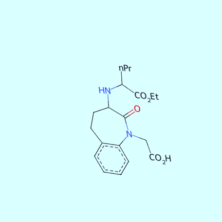 CCCC(NC1CCc2ccccc2N(CC(=O)O)C1=O)C(=O)OCC